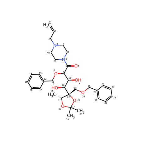 C=CCN1CCN(C(=O)[C@H](OCc2ccccc2)[C@@H](O)[C@H](O)[C@]2(COCc3ccccc3)OC(C)(C)O[C@@H]2C)CC1